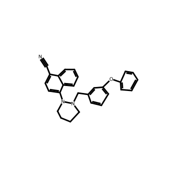 N#Cc1ccc(N2CCCCN2Cc2cccc(Oc3ccccc3)c2)c2ccccc12